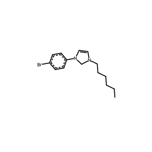 CCCCCCN1C=CN(c2ccc(Br)cc2)C1